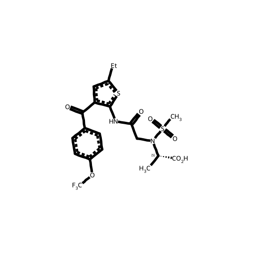 CCc1cc(C(=O)c2ccc(OC(F)(F)F)cc2)c(NC(=O)CN([C@@H](C)C(=O)O)S(C)(=O)=O)s1